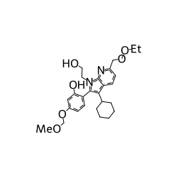 CCOOCc1ccc2c(C3CCCCC3)c(-c3ccc(OCOC)cc3O)n(CCO)c2n1